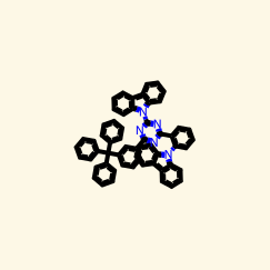 c1ccc(C(c2ccccc2)(c2ccccc2)c2cccc(-c3nc(-c4ccccc4-n4c5ccccc5c5ccccc54)nc(-n4c5ccccc5c5ccccc54)n3)c2)cc1